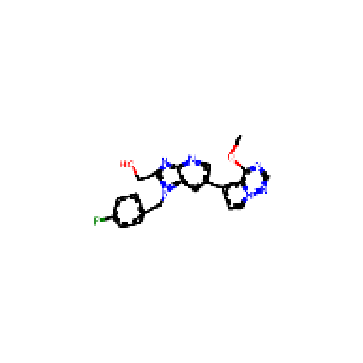 COc1ncnn2ccc(-c3cnc4nc(CO)n(Cc5ccc(F)cc5)c4c3)c12